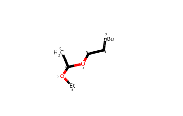 [CH2]C(OCC)OCCCCCC